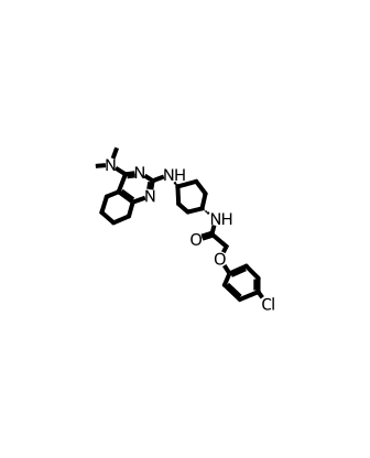 CN(C)c1nc(N[C@H]2CC[C@@H](NC(=O)COc3ccc(Cl)cc3)CC2)nc2c1CCCC2